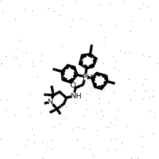 Cc1ccc([PH](CC(=O)NC2CC(C)(C)N(C)C(C)(C)C2)(c2ccc(C)cc2)c2ccc(C)cc2)cc1